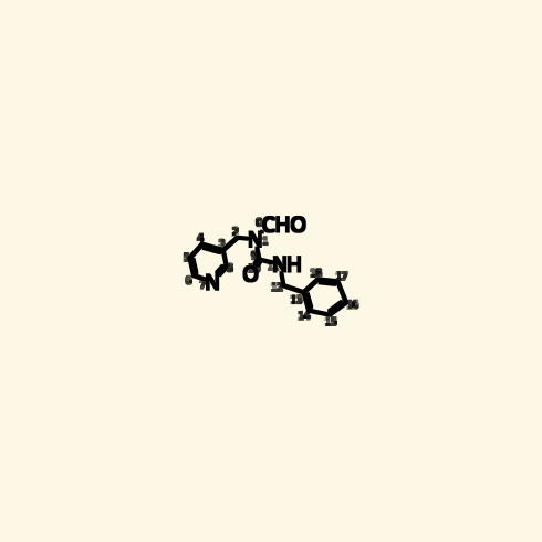 O=CN(Cc1cccnc1)C(=O)NCc1ccccc1